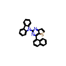 c1ccc2c(-c3nc(-n4c5ccccc5c5ccccc54)nc4ccsc34)cccc2c1